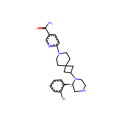 CC(C)c1ccccc1[C@@H]1CNCCN1C1CC2(CCN(c3ccc(C(N)=O)cn3)CC2)C1